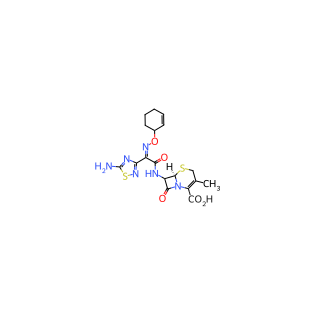 CC1=C(C(=O)O)N2C(=O)C(NC(=O)/C(=N\OC3C=CCCC3)c3nsc(N)n3)[C@H]2SC1